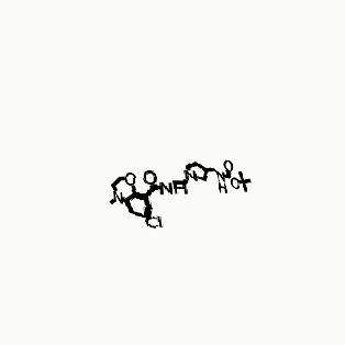 CN1CCOc2c(C(=O)NCCN3CCC(CNC(=O)OC(C)(C)C)C3)cc(Cl)cc21